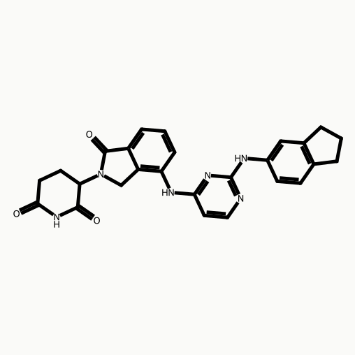 O=C1CCC(N2Cc3c(Nc4ccnc(Nc5ccc6c(c5)CCC6)n4)cccc3C2=O)C(=O)N1